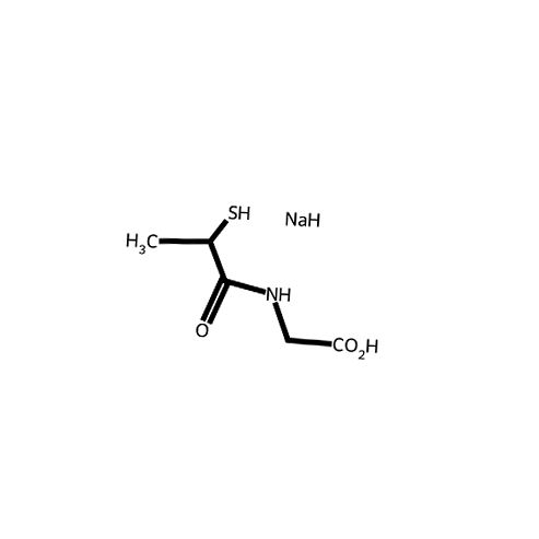 CC(S)C(=O)NCC(=O)O.[NaH]